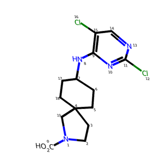 O=C(O)N1CCC2(CCC(Nc3nc(Cl)ncc3Cl)CC2)C1